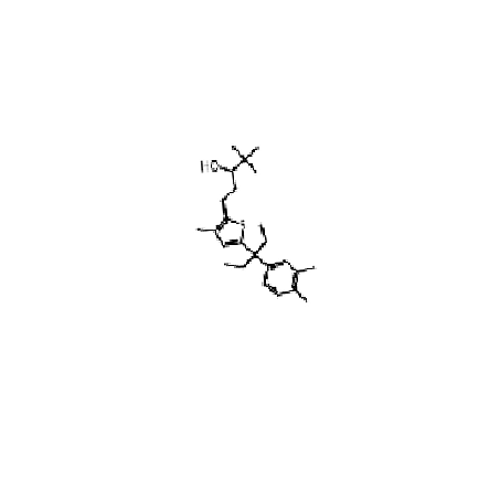 CCC(CC)(c1ccc(C)c(C)c1)c1cc(C)c(CCC(O)C(C)(C)C)s1